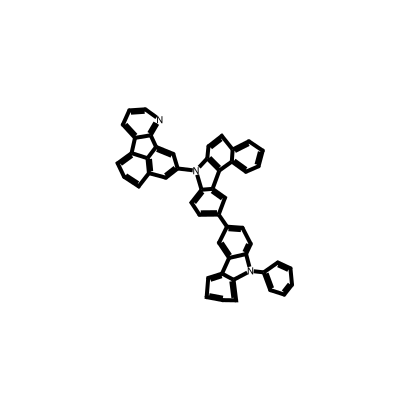 c1ccc(-n2c3ccccc3c3cc(-c4ccc5c(c4)c4c6ccccc6ccc4n5-c4cc5c6c(cccc6c4)-c4cccnc4-5)ccc32)cc1